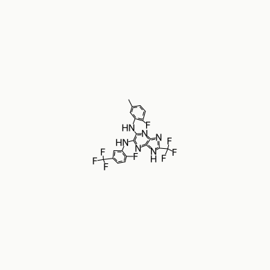 Cc1ccc(F)c(Nc2nc3nc(C(F)(F)F)[nH]c3nc2Nc2cc(C(F)(F)F)ccc2F)c1